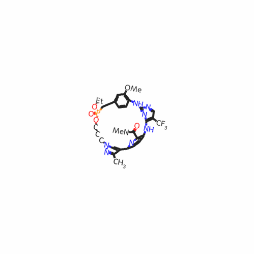 CCOP1(=O)Cc2ccc(c(OC)c2)Nc2ncc(C(F)(F)F)c(n2)Nc2ccc(nc2C(=O)NC)-c2cn(nc2C)CCCO1